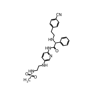 CS(=O)(=O)NCCNc1ccc(NC(=O)[C@@H](NCCc2ccc(C#N)cc2)c2ccccc2)nc1